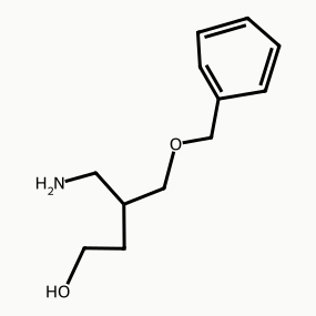 NCC(CCO)COCc1ccccc1